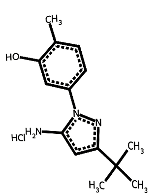 Cc1ccc(-n2nc(C(C)(C)C)cc2N)cc1O.Cl